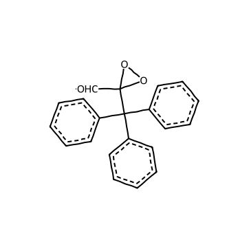 O=[C]C1(C(c2ccccc2)(c2ccccc2)c2ccccc2)OO1